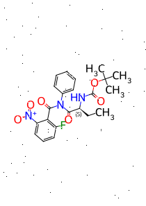 CC[C@H](NC(=O)OC(C)(C)C)C(=O)N(C(=O)c1c(F)cccc1[N+](=O)[O-])c1ccccc1